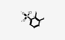 Cc1cccc(S(=O)(=O)Cl)c1C